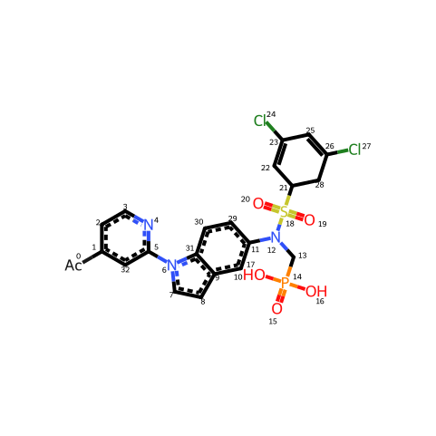 CC(=O)c1ccnc(-n2ccc3cc(N(CP(=O)(O)O)S(=O)(=O)C4C=C(Cl)C=C(Cl)C4)ccc32)c1